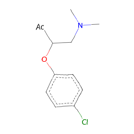 CC(=O)C(CN(C)C)Oc1ccc(Cl)cc1